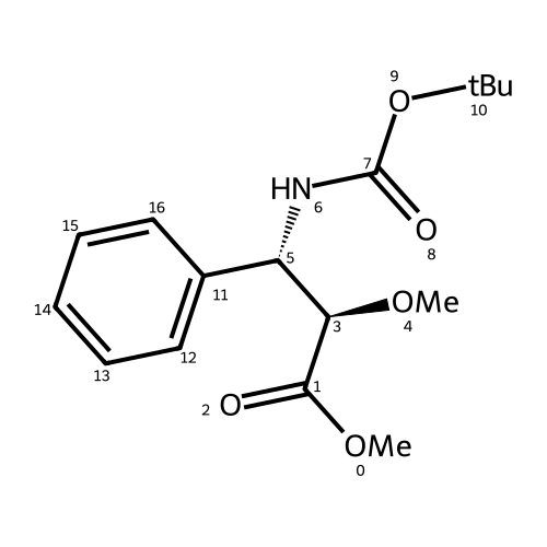 COC(=O)[C@H](OC)[C@@H](NC(=O)OC(C)(C)C)c1ccccc1